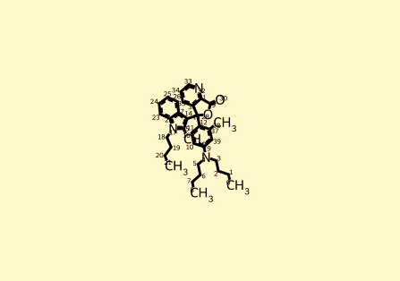 CCCCN(CCCC)c1ccc(C2(c3c(C)n(CCCC)c4ccccc34)OC(=O)c3ncccc32)c(C)c1